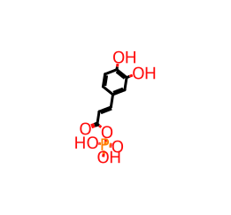 O=C(/C=C/c1ccc(O)c(O)c1)OP(=O)(O)O